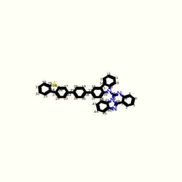 c1ccc2c(c1)nc(-n1c3ccccc3c3cc(-c4ccc(-c5ccc6c(c5)sc5ccccc56)cc4)ccc31)n1c3ccccc3nc21